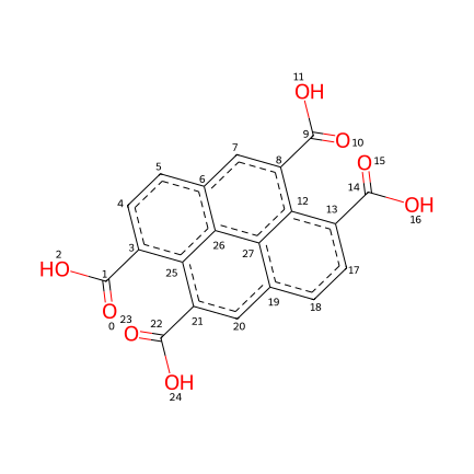 O=C(O)c1ccc2cc(C(=O)O)c3c(C(=O)O)ccc4cc(C(=O)O)c1c2c43